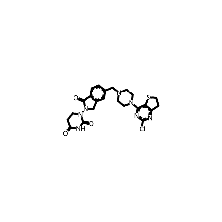 O=C1CCN(N2Cc3cc(CN4CCN(c5nc(Cl)nc6c5SCC6)CC4)ccc3C2=O)C(=O)N1